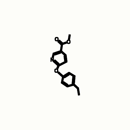 CCc1ccc(Oc2ccc(C(=O)OC)cn2)cc1